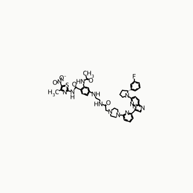 CC(=O)Nc1cc(NCCNC(=O)CN2CCN(c3cccc(-c4cnc5ccc(N6CCC[C@@H]6c6cccc(F)c6)nn45)n3)CC2)ccc1C(=O)Nc1nc(C)c([N+](=O)[O-])s1